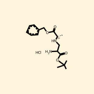 C[C@H](NCC(N)C(=O)OC(C)(C)C)C(=O)OCc1ccccc1.Cl